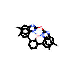 Cc1cc2nc3n(c2cc1C)B(c1c(-c2ccccc2)cccc1-c1ccccc1)n1c(nc2cc(C)c(C)cc21)O3